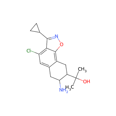 CC(C)(O)C1Cc2c(cc(Cl)c3c(C4CC4)noc23)CC1N